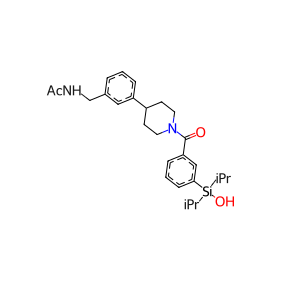 CC(=O)NCc1cccc(C2CCN(C(=O)c3cccc([Si](O)(C(C)C)C(C)C)c3)CC2)c1